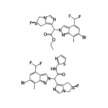 CCOC(=O)C(c1ncn2c1C[C@@H](F)C2)n1cc2c(C(F)F)cc(Br)c(C)c2n1.Cc1c(Br)cc(C(F)F)c2cn(C(C(=O)Nc3nccs3)c3ncn4c3C[C@@H](F)C4)nc12